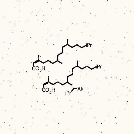 CC(=CC(=O)O)CCCC(C)CCCC(C)CCCC(C)C.CC(=CC(=O)O)CCCC(C)CCCC(C)CCCC(C)C.CC(C)[CH2][Al]